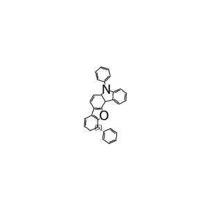 C1=Cc2c(oc3c2C=CC2C3c3ccccc3N2c2ccccc2)[C@H](c2ccccc2)C1